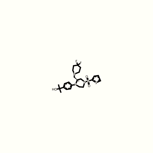 CC(C)(O)c1ccc(N2CCN(S(=O)(=O)c3cccs3)C[C@@H]2CN2CCC(F)(F)CC2)cc1